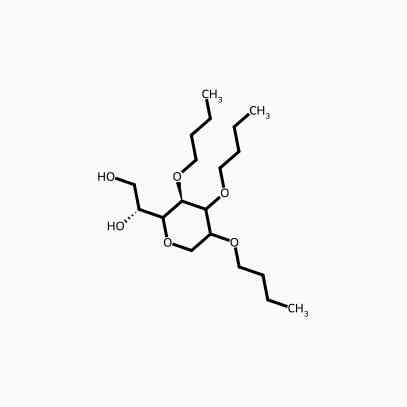 CCCCOC1COC([C@H](O)CO)[C@@H](OCCCC)C1OCCCC